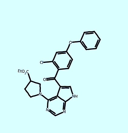 CCOC(=O)C1CCN(c2ncnc3[nH]cc(C(=O)c4ccc(Oc5ccccc5)cc4Cl)c23)C1